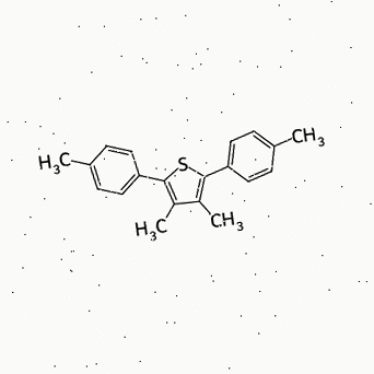 Cc1ccc(-c2sc(-c3ccc(C)cc3)c(C)c2C)cc1